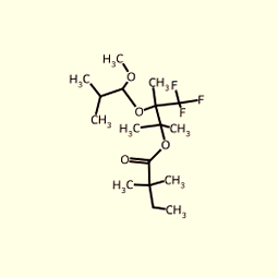 CCC(C)(C)C(=O)OC(C)(C)C(C)(OC(OC)C(C)C)C(F)(F)F